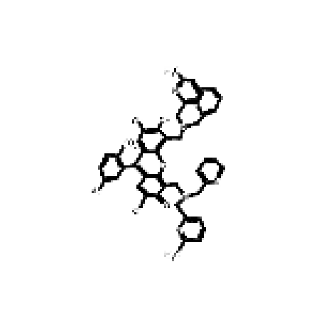 CC(=O)c1ccc(C(=O)O)c(-c2c3cc(Cl)c(=O)c(CN(Cc4ccccn4)Cc4cccc(C)n4)c-3oc3c(CN(Cc4ccccn4)Cc4cccc(C)n4)c(O)c(Cl)cc23)c1